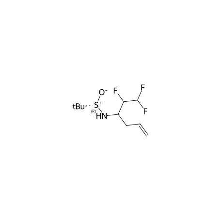 C=CCC(N[S@@+]([O-])C(C)(C)C)C(F)C(F)F